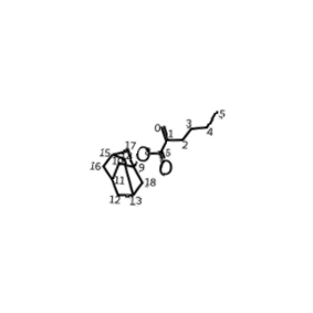 C=C(CCCC)C(=O)OC12CC3CC(CC(C3)C1)C2